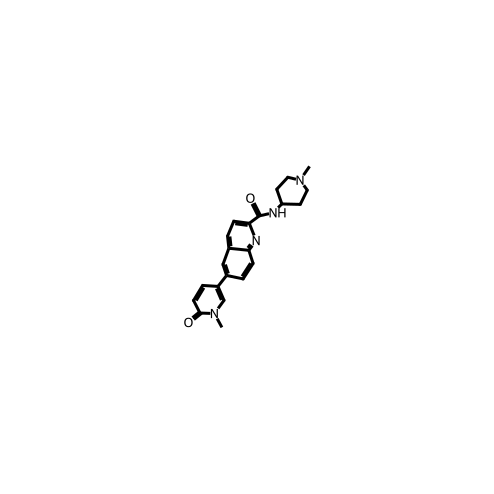 CN1CCC(NC(=O)c2ccc3cc(-c4ccc(=O)n(C)c4)ccc3n2)CC1